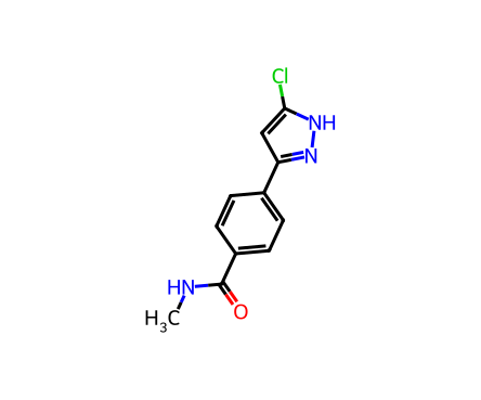 CNC(=O)c1ccc(-c2cc(Cl)[nH]n2)cc1